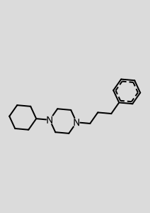 c1ccc(CCCN2CCN(C3CCCCC3)CC2)cc1